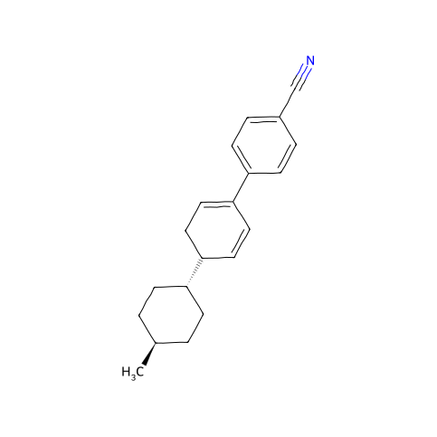 C[C@H]1CC[C@H](C2C=CC(c3ccc(C#N)cc3)=CC2)CC1